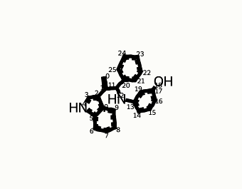 C=C(c1c[nH]c2ccccc12)C(Nc1cccc(O)c1)c1ccccc1